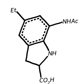 CCc1cc2c(c(NC(C)=O)c1)NC(C(=O)O)C2